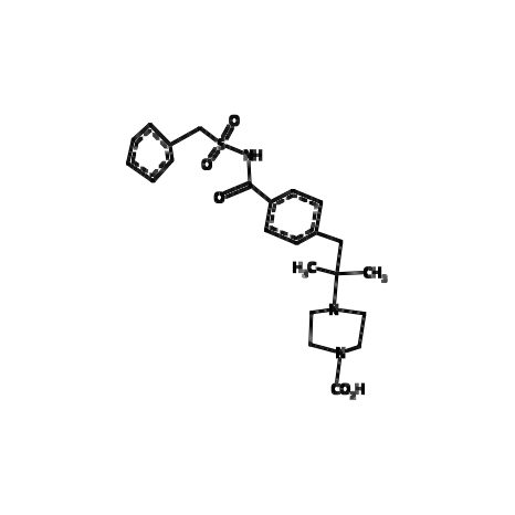 CC(C)(Cc1ccc(C(=O)NS(=O)(=O)Cc2ccccc2)cc1)N1CCN(C(=O)O)CC1